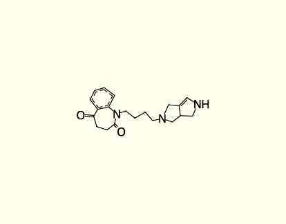 O=C1CCC(=O)N(CCCCN2CC3=CNCC3C2)c2ccccc21